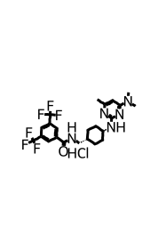 Cc1cc(N(C)C)nc(N[C@H]2CC[C@@H](CNC(=O)c3cc(C(F)(F)F)cc(C(F)(F)F)c3)CC2)n1.Cl